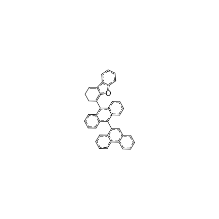 C1=c2c(oc3ccccc23)=C(c2c3ccccc3c(-c3cc4ccccc4c4ccccc34)c3ccccc23)CC1